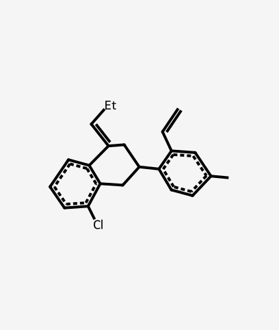 C=Cc1cc(C)ccc1C1CC(=CCC)c2cccc(Cl)c2C1